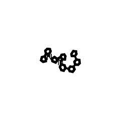 c1ccc(-c2cccc(-c3cccc(-c4cccc(-n5c6ccccc6c6cc(-n7c8ccccc8c8ccccc87)ccc65)c4)c3)c2)cc1